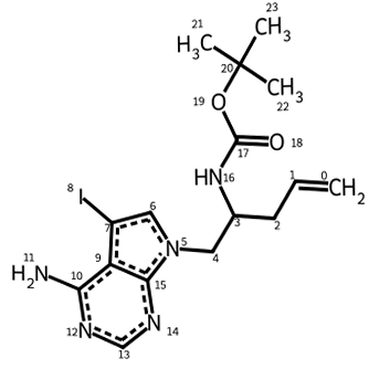 C=CCC(Cn1cc(I)c2c(N)ncnc21)NC(=O)OC(C)(C)C